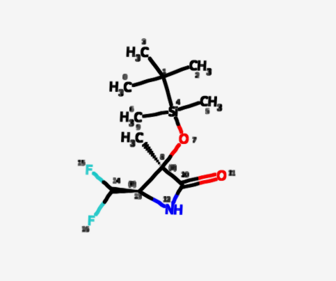 CC(C)(C)[Si](C)(C)O[C@@]1(C)C(=O)N[C@H]1C(F)F